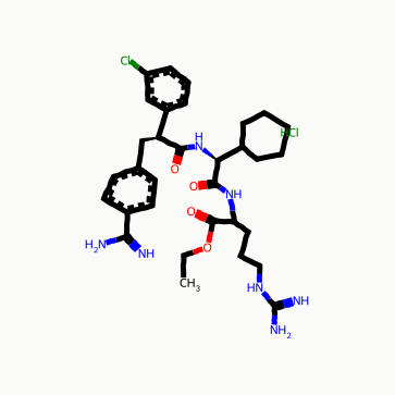 CCOC(=O)C(CCCNC(=N)N)NC(=O)[C@@H](NC(=O)[C@@H](Cc1ccc(C(=N)N)cc1)c1cccc(Cl)c1)C1CCCCC1.Cl